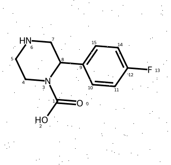 O=C(O)N1CCNCC1c1ccc(F)cc1